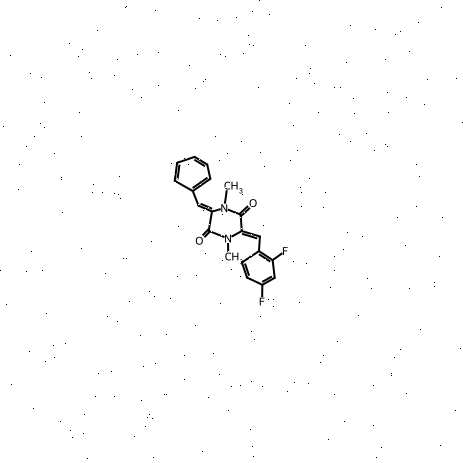 Cn1c(=O)/c(=C/c2ccc(F)cc2F)n(C)c(=O)/c1=C/c1ccccc1